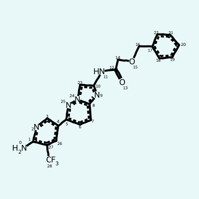 Nc1ncc(-c2ccc3nc(NC(=O)COCc4ccccc4)cn3n2)cc1C(F)(F)F